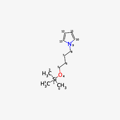 C[Si](C)(C)OCCCCn1cccc1